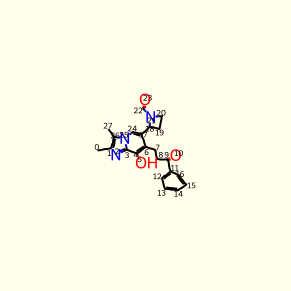 Cc1nc2c(O)c(CCC(=O)c3ccccc3)c(C3CCN3C=O)cn2c1C